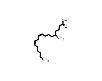 CCCCC/C=C\C/C=C\CCCC(C)CCCC(=O)O